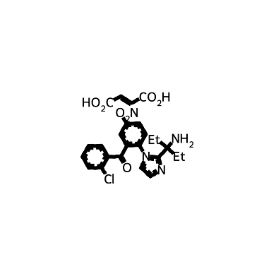 CCC(N)(CC)c1nccn1-c1ccc([N+](=O)[O-])cc1C(=O)c1ccccc1Cl.O=C(O)/C=C/C(=O)O